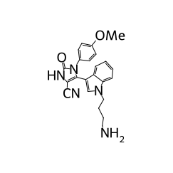 COc1ccc(-n2c(-c3cn(CCCCN)c4ccccc34)c(C#N)[nH]c2=O)cc1